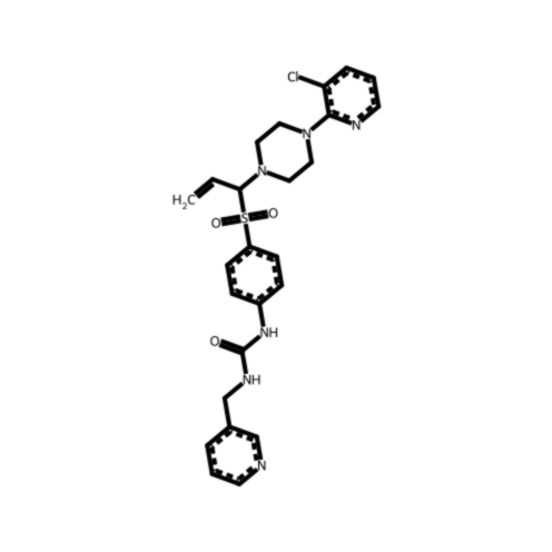 C=CC(N1CCN(c2ncccc2Cl)CC1)S(=O)(=O)c1ccc(NC(=O)NCc2cccnc2)cc1